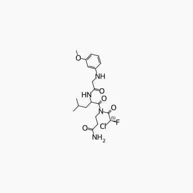 COc1cccc(NCC(=O)NC(CC(C)C)C(=O)N(CCC(N)=O)C(=O)[C@@H](F)Cl)c1